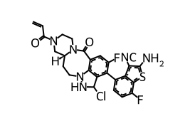 C=CC(=O)N1CCN2C(=O)c3cc(F)c(-c4ccc(F)c5sc(N)c(C#N)c45)c4c3N(CC[C@@H]2C1)NC4Cl